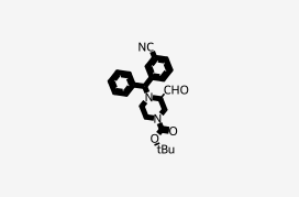 CC(C)(C)OC(=O)N1CCN(C(c2ccccc2)c2cccc(C#N)c2)[C@H](C=O)C1